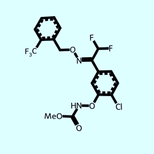 COC(=O)NOc1cc(C(=NOCc2ccccc2C(F)(F)F)C(F)F)ccc1Cl